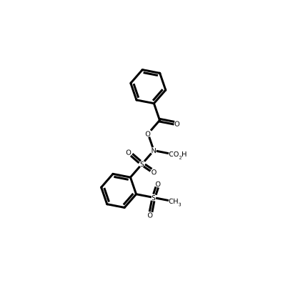 CS(=O)(=O)c1ccccc1S(=O)(=O)N(OC(=O)c1ccccc1)C(=O)O